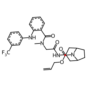 C=CCOC(=O)N1C2CCC1CC(NC(=O)CN(C)C(=O)c1ccccc1Nc1cccc(C(F)(F)F)c1)C2